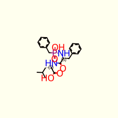 CC(C)C[C@H](NC(=O)[C@H](Cc1ccccc1)NP(=O)(O)Cc1ccccc1)C(=O)O